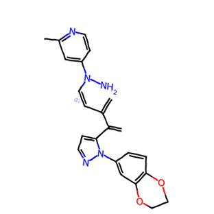 C=C(/C=C\N(N)c1ccnc(C)c1)C(=C)c1ccnn1-c1ccc2c(c1)OCCO2